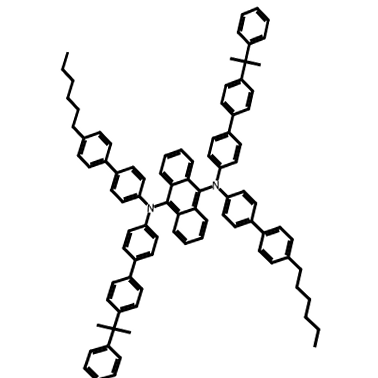 CCCCCCc1ccc(-c2ccc(N(c3ccc(-c4ccc(C(C)(C)c5ccccc5)cc4)cc3)c3c4ccccc4c(N(c4ccc(-c5ccc(CCCCCC)cc5)cc4)c4ccc(-c5ccc(C(C)(C)c6ccccc6)cc5)cc4)c4ccccc34)cc2)cc1